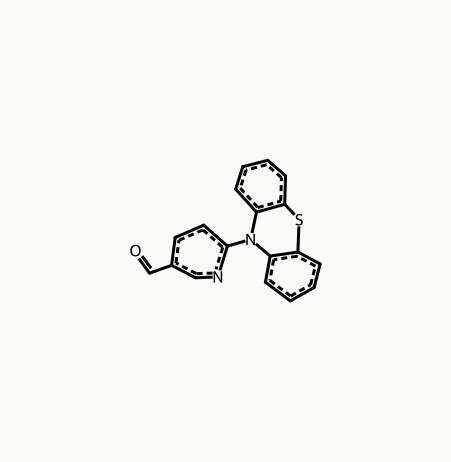 O=Cc1ccc(N2c3ccccc3Sc3ccccc32)nc1